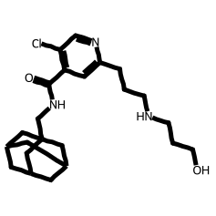 O=C(NCC12CC3CC(CC(C3)C1)C2)c1cc(CCCNCCCO)ncc1Cl